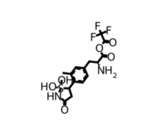 Cc1cc(C[C@H](N)C(=O)OC(=O)C(F)(F)F)ccc1C1CC(=O)NS1(O)O